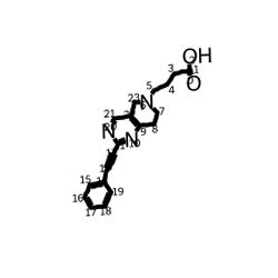 O=C(O)CCCN1CCc2nc(C#Cc3ccccc3)ncc2C1